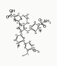 CCc1cc(-c2cc(-c3nn(-c4nc(C(=O)O)cs4)c(CC4CC4)c3Cc3ccc(S(N)(=O)=O)c(F)c3)ccc2F)ccc1OC